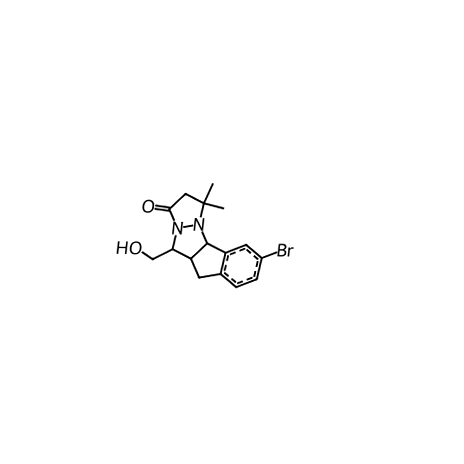 CC1(C)CC(=O)N2C(CO)C3Cc4ccc(Br)cc4C3N21